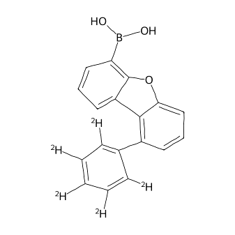 [2H]c1c([2H])c([2H])c(-c2cccc3oc4c(B(O)O)cccc4c23)c([2H])c1[2H]